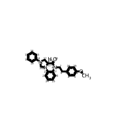 COc1ccc(CCN2C(=O)[C@@H]3CN(c4ccccc4)CN3c3ccccc32)cc1